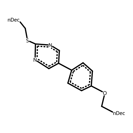 CCCCCCCCCCCOc1ccc(-c2cnc(SCCCCCCCCCCC)nc2)cc1